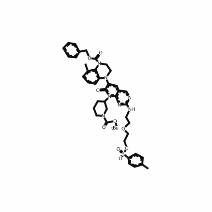 Cc1ccc(S(=O)(=O)OCCOCCNc2ncc3cc(N4CCN(C(=O)OCc5ccccc5)c5c(C)cccc54)c(=O)n(C4CCCN(C(=O)OC(C)(C)C)C4)c3n2)cc1